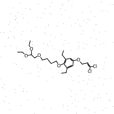 CCOC(COCCCCOc1c(CC)cc(OCC=C(Cl)Cl)cc1CC)OCC